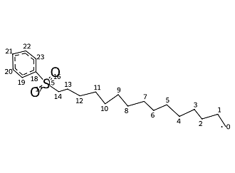 [CH2]CCCCCCCCCCCCCCS(=O)(=O)c1ccccc1